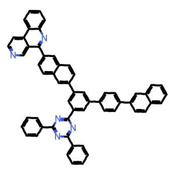 c1ccc(-c2nc(-c3ccccc3)nc(-c3cc(-c4ccc(-c5ccc6ccccc6c5)cc4)cc(-c4ccc5cc(-c6nc7ccccc7c7ccncc67)ccc5c4)c3)n2)cc1